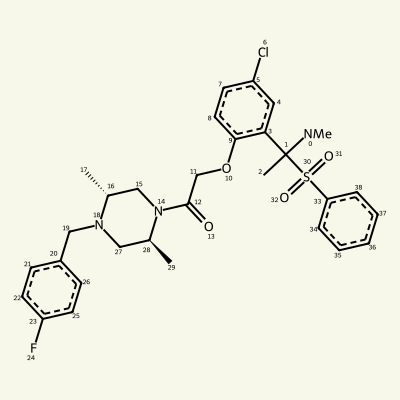 CNC(C)(c1cc(Cl)ccc1OCC(=O)N1C[C@@H](C)N(Cc2ccc(F)cc2)C[C@@H]1C)S(=O)(=O)c1ccccc1